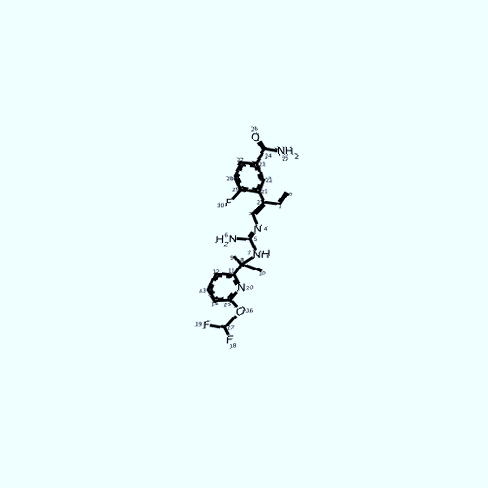 C=C/C(=C\N=C(/N)NC(C)(C)c1cccc(OC(F)F)n1)c1cc(C(N)=O)ccc1F